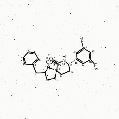 O=C(O)N1C(Cc2ccccc2)CC[C@@]12CC[C@@H](c1cc(F)cc(F)c1)NC2=O